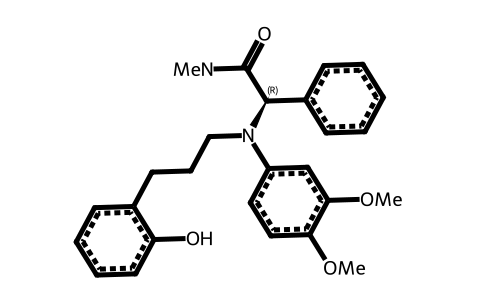 CNC(=O)[C@@H](c1ccccc1)N(CCCc1ccccc1O)c1ccc(OC)c(OC)c1